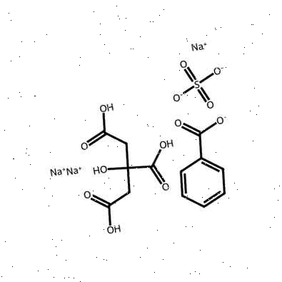 O=C(O)CC(O)(CC(=O)O)C(=O)O.O=C([O-])c1ccccc1.O=S(=O)([O-])[O-].[Na+].[Na+].[Na+]